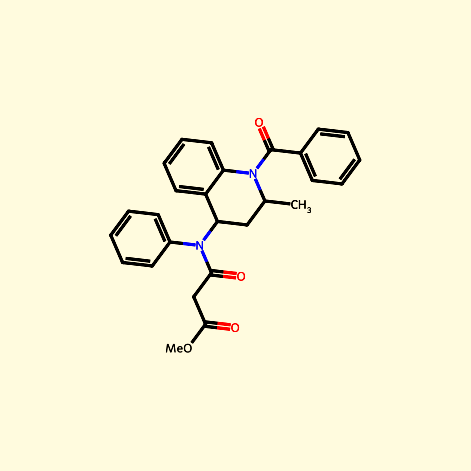 COC(=O)CC(=O)N(c1ccccc1)C1CC(C)N(C(=O)c2ccccc2)c2ccccc21